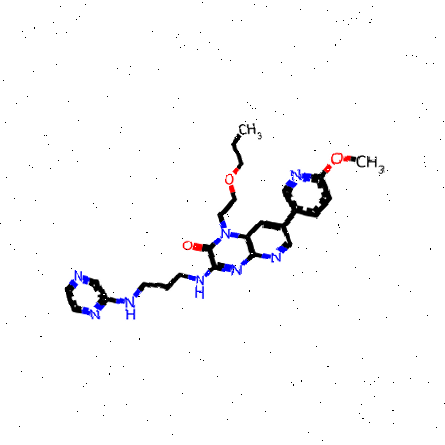 CCCOCCN1C(=O)C(NCCCNc2cnccn2)=NC2N=CC(c3ccc(OC)nc3)=CC21